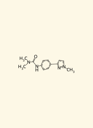 CN(C)C(=O)Nc1ccc(-c2ccn(C)n2)cc1